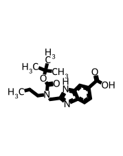 CCCN(Cc1nc2ccc(C(=O)O)cc2[nH]1)C(=O)OC(C)(C)C